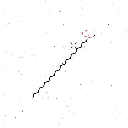 CCCCCCCCCCCCCCCCCC(CCC[Si](OC)(OC)OC)[N+](C)(C)C.[Cl-]